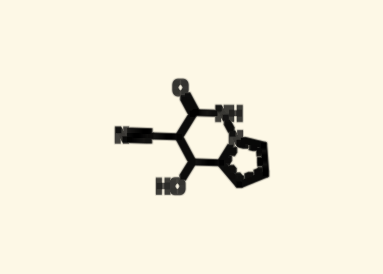 N#CC1C(=O)Nn2cccc2C1O